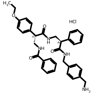 CCOc1ccc([C@@H](CNC(=O)c2ccccc2)C(=O)NC[C@H](C(=O)NCc2ccc(CN)cc2)c2ccccc2)cc1.Cl